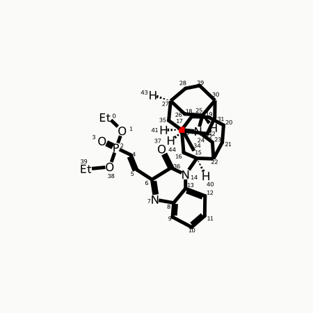 CCOP(=O)(/C=C/c1nc2ccccc2n([C@H]2C[C@H]3CCCCC2CN3[C@@H]2C[C@@H]3CCC2CC[C@@H](C)C3)c1=O)OCC